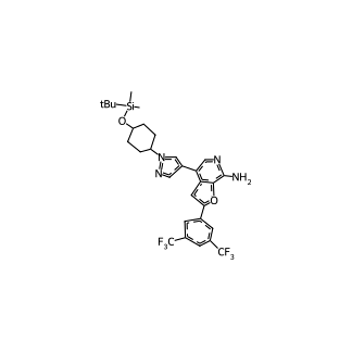 CC(C)(C)[Si](C)(C)OC1CCC(n2cc(-c3cnc(N)c4oc(-c5cc(C(F)(F)F)cc(C(F)(F)F)c5)cc34)cn2)CC1